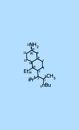 CCCCC(C)C(C(C)C)C1CCC2C[C@H](N)CCC2C1CC